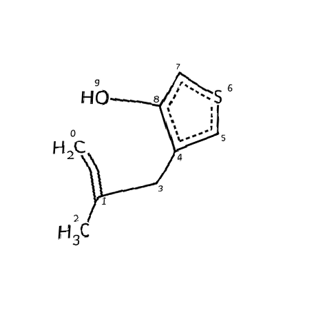 C=C(C)Cc1cscc1O